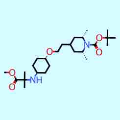 COC(=O)C(C)(C)N[C@H]1CC[C@H](OCCC2C[C@@H](C)N(C(=O)OC(C)(C)C)[C@@H](C)C2)CC1